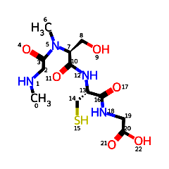 CNCC(=O)N(C)[C@@H](CO)C(=O)N[C@@H](CS)C(=O)NCC(=O)O